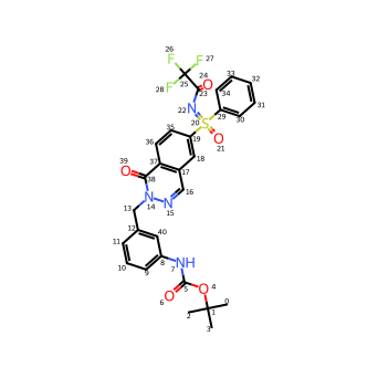 CC(C)(C)OC(=O)Nc1cccc(Cn2ncc3cc(S(=O)(=NC(=O)C(F)(F)F)c4ccccc4)ccc3c2=O)c1